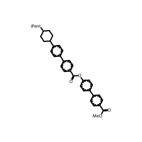 CCCC(C)C1CCC(c2ccc(-c3ccc(C(=O)Oc4ccc(-c5ccc(C(=O)OC)cc5)cc4)cc3)cc2)CC1